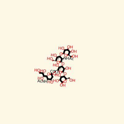 CC(=O)N[C@H]1[C@H](O[C@H]2[C@@H](O)[C@@H](CO[C@]3(C(=O)O)C[C@H](O)[C@@H](NC(C)=O)[C@H]([C@H](O)[C@H](O)CO)O3)O[C@@H](O[C@H]3[C@H](O)[C@@H](O)C(O)O[C@@H]3CO)[C@@H]2O)O[C@H](CO)[C@@H](O)[C@@H]1O[C@@H]1O[C@H](CO)[C@H](O)[C@H](O)[C@H]1O